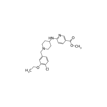 CCOc1cc(CN2CCC(Nc3ccc(C(=O)OC)cn3)CC2)ccc1Cl